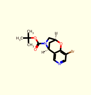 CC(C)(C)OC(=O)N1C[C@@H]2C[C@H]1c1cncc(Br)c1O2